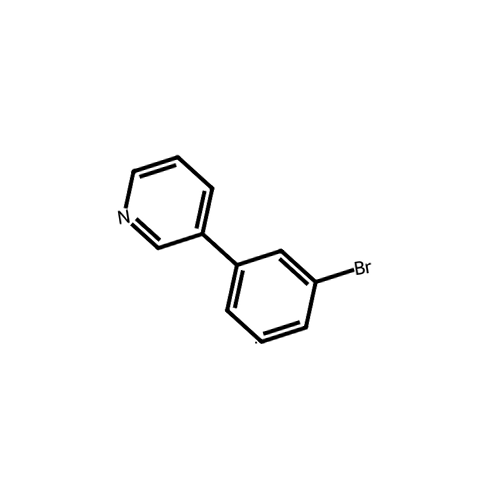 Brc1c[c]cc(-c2cccnc2)c1